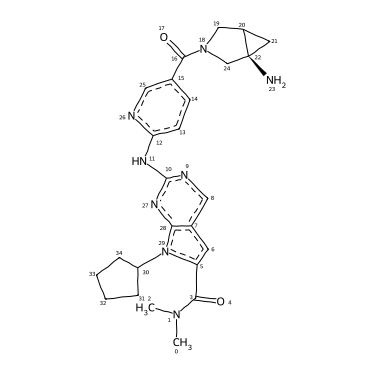 CN(C)C(=O)c1cc2cnc(Nc3ccc(C(=O)N4CC5C[C@]5(N)C4)cn3)nc2n1C1CCCC1